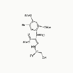 COC(=O)C(=CN[C@@H](CO)C(C)C)C(=O)c1cc(Br)c(OC)cc1OC